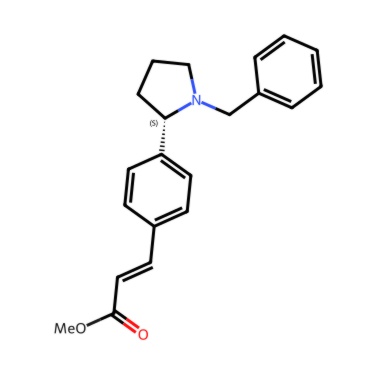 COC(=O)C=Cc1ccc([C@@H]2CCCN2Cc2ccccc2)cc1